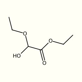 CCOC(=O)C(O)OCC